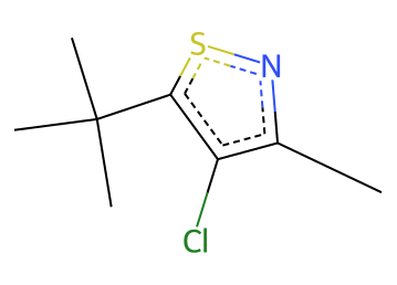 Cc1nsc(C(C)(C)C)c1Cl